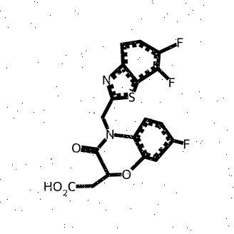 O=C(O)CC1Oc2cc(F)ccc2N(Cc2nc3ccc(F)c(F)c3s2)C1=O